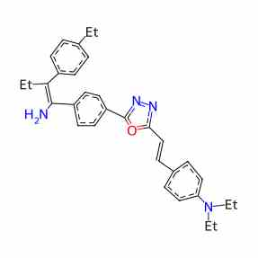 CCC(=C(N)c1ccc(-c2nnc(C=Cc3ccc(N(CC)CC)cc3)o2)cc1)c1ccc(CC)cc1